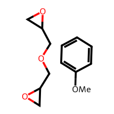 C(OCC1CO1)C1CO1.COc1ccccc1